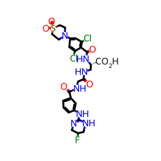 O=C(CNC(=O)c1cccc(NC2=NCC(F)CN2)c1)NC[C@H](NC(=O)c1c(Cl)cc(N2CCS(=O)(=O)CC2)cc1Cl)C(=O)O